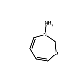 NN1C=CC=COC1